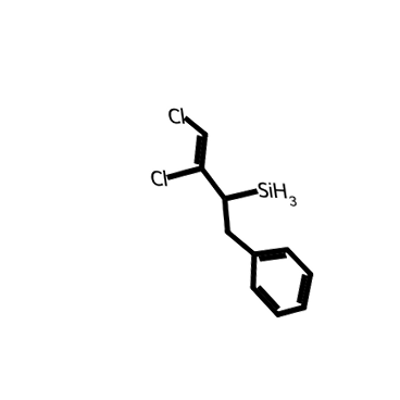 [SiH3]C(Cc1ccccc1)C(Cl)=CCl